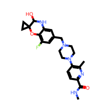 CNC(=O)c1ccc(N2CCN(Cc3cc(F)c4c(c3)NC(O)C3(CC3)O4)CC2)c(C)n1